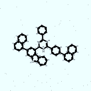 c1ccc(C2=NC(c3cc(-c4cccc5ccccc45)cc4oc5ccccc5c34)NC(c3ccc(-c4cccc5ccccc45)cc3)=N2)cc1